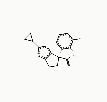 COC(=O)[C@@]1(c2cccc(F)c2C)CCc2nc(C3CC3)sc21